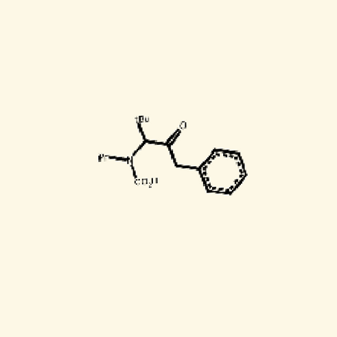 CC(C)N(C(=O)O)C(C(=O)Cc1ccccc1)C(C)(C)C